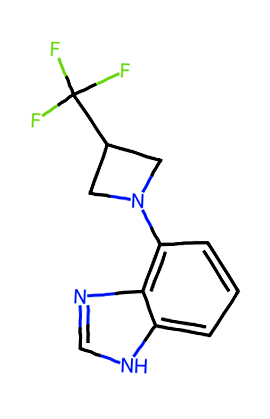 FC(F)(F)C1CN(c2cccc3[nH]cnc23)C1